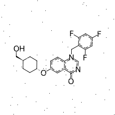 O=c1ncn(Cc2c(F)cc(F)cc2F)c2ccc(O[C@H]3CC[C@H](CO)CC3)cc12